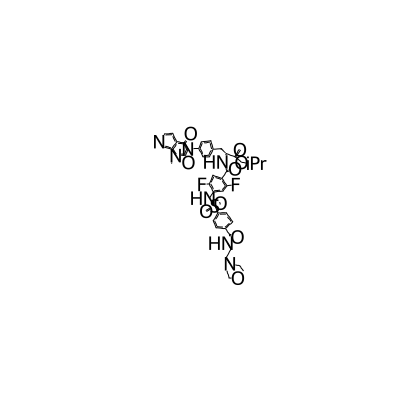 CC(C)OC(=O)[C@H](Cc1ccc(-n2c(=O)c3ccncc3n(C)c2=O)cc1)NC(=O)c1cc(F)c(NS(=O)(=O)c2ccc(C(=O)NCCN3CCOCC3)cc2)cc1F